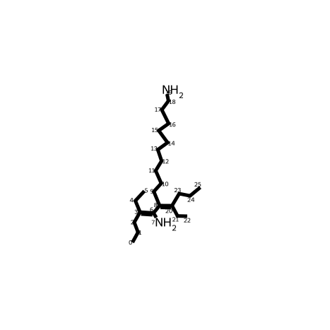 CCCC(CC)=C(N)C(CCCCCCCCCCN)=C(CC)CCC